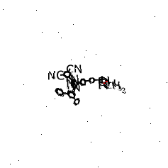 C[C@H]1CCC2CC(c3ccc(-c4ccc(-c5nc(-c6cc(C#N)cc(C#N)c6)nc(-c6cc(-c7ccccc7)cc(-c7ccccc7)c6)n5)cc4)cc3)(C1)[C@@H]2C